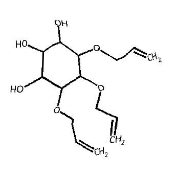 C=CCOC1C(O)C(O)C(O)C(OCC=C)C1OCC=C